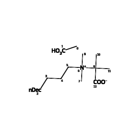 CC(=O)O.CCCCCCCCCCCCC[N+](C)(C)C(C)(C)C(=O)[O-]